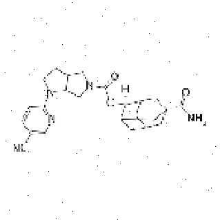 N#Cc1ccc(N2CCC3CN(C(=O)O[C@H]4C5CC6CC4C[C@](C(N)=O)(C6)C5)CC32)nc1